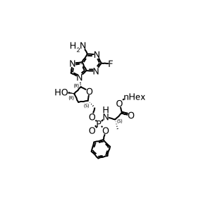 CCCCCCOC(=O)[C@H](C)NP(=O)(OC[C@@H]1C[C@@H](O)[C@H](n2cnc3c(N)nc(F)nc32)O1)Oc1ccccc1